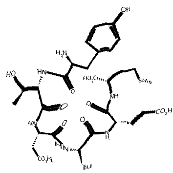 CC[C@H](C)[C@H](NC(=O)[C@H](CC(=O)O)NC(=O)[C@@H](NC(=O)[C@@H](N)Cc1ccc(O)cc1)[C@@H](C)O)C(=O)N[C@@H](CCC(=O)O)C(=O)N[C@@H](CCSC)C(=O)O